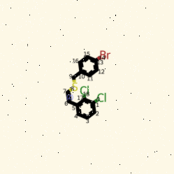 Clc1cccc(/C=C\SCc2ccc(Br)cc2)c1Cl